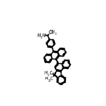 CC(N)c1ccc(-c2c3ccccc3c(-c3cc4c(c5ccccc35)-c3ccccc3C4(C)C)c3ccccc23)cc1